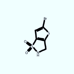 O=S1(=O)NCc2sc(Br)cc21